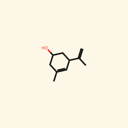 C=C(C)C1C=C(C)CC(O)C1